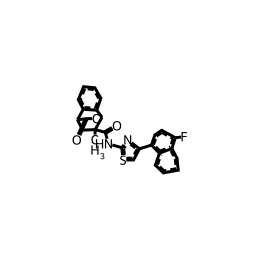 CC1(C(=O)Nc2nc(-c3ccc(F)c4ccccc34)cs2)CC2C(=O)CC1c1ccccc12